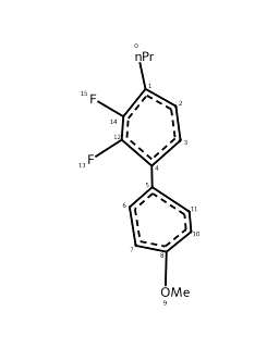 CCCc1ccc(-c2ccc(OC)cc2)c(F)c1F